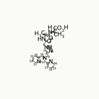 C[C@H](NC(=O)Cn1cc(CN(Cc2ccccn2)Cc2ccccn2)nn1)C(=O)N[C@H](C)C(=O)O